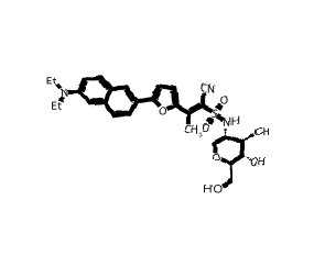 CCN(CC)c1ccc2cc(-c3ccc(/C(C)=C(\C#N)S(=O)(=O)N[C@H]4CO[C@H](CO)[C@@H](O)[C@@H]4O)o3)ccc2c1